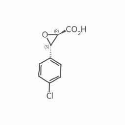 O=C(O)[C@@H]1O[C@H]1c1ccc(Cl)cc1